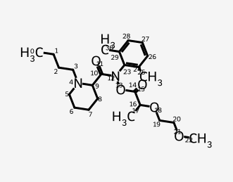 CCCCN1CCCCC1C(=O)N(OC(=O)C(C)OCCOC)c1c(C)cccc1C